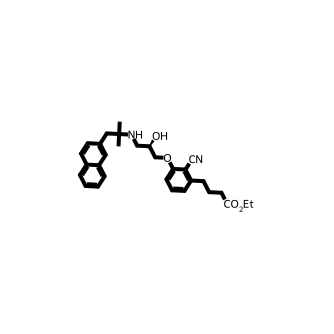 CCOC(=O)CCCc1cccc(OC[C@H](O)CNC(C)(C)Cc2ccc3ccccc3c2)c1C#N